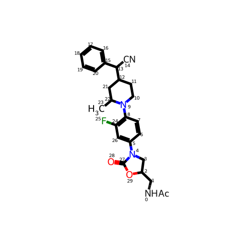 CC(=O)NCC1CN(c2ccc(N3CCC(C(C#N)c4ccccc4)CC3C)c(F)c2)C(=O)O1